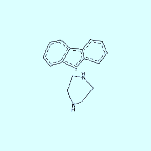 C1CNCCN1.c1ccc2c(c1)sc1ccccc12